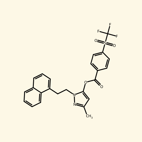 Cc1cc(OC(=O)c2ccc(S(=O)(=O)C(F)(F)F)cc2)n(CCc2cccc3ccccc23)n1